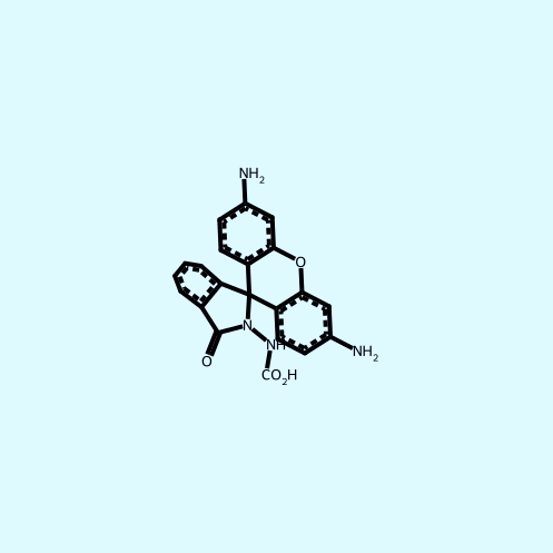 Nc1ccc2c(c1)Oc1cc(N)ccc1C21c2ccccc2C(=O)N1NC(=O)O